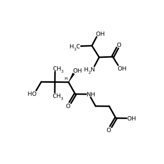 CC(C)(CO)[C@@H](O)C(=O)NCCC(=O)O.CC(O)C(N)C(=O)O